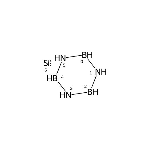 B1NBNBN1.[Si]